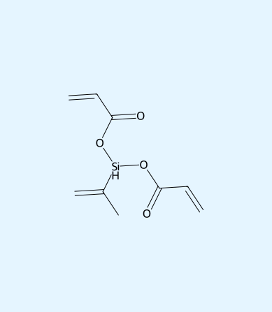 C=CC(=O)O[SiH](OC(=O)C=C)C(=C)C